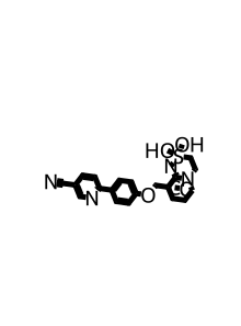 N#Cc1ccc(-c2ccc(OCC34CCC(CC3)N3CCS(O)(O)N=C34)cc2)nc1